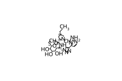 CCC[C@@H]1C[C@@H](C(=O)N[C@H](Cn2cc(-c3ccnc(N)n3)nn2)C2OC(SC)C(O)C(O)C2O)N(C)C1